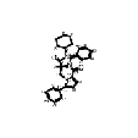 CC1(C(=O)NC2CCCCC2)Cn2c(ccc2-c2ccccc2)C(=O)N1Cc1ccccc1